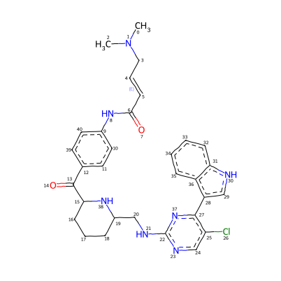 CN(C)C/C=C/C(=O)Nc1ccc(C(=O)C2CCCC(CNc3ncc(Cl)c(-c4c[nH]c5ccccc45)n3)N2)cc1